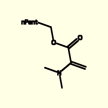 C=C(C(=O)OCCCCCC)N(C)C